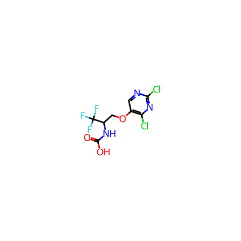 O=C(O)NC(COc1cnc(Cl)nc1Cl)C(F)(F)F